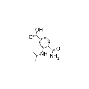 CC(C)Nc1cc(C(=O)O)ccc1C(N)=O